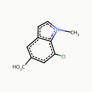 Cn1ccc2cc(C(=O)O)cc(Cl)c21